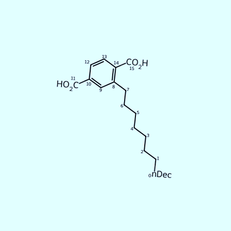 CCCCCCCCCCCCCCCCCc1cc(C(=O)O)ccc1C(=O)O